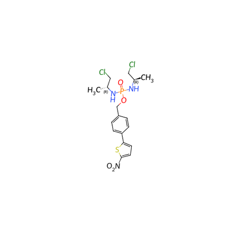 C[C@H](CCl)NP(=O)(N[C@H](C)CCl)OCc1ccc(-c2ccc([N+](=O)[O-])s2)cc1